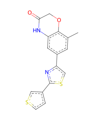 Cc1cc(-c2csc(-c3ccsc3)n2)cc2c1OCC(=O)N2